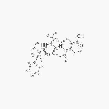 CCC(=C(C)C(=O)O)[C@H](C(C)C)N(C)C(=O)[C@@H](NC(=O)C(CC)C(C)(C)c1ccccc1)C(C)(C)C